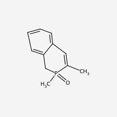 CC1=Cc2ccccc2CP1(C)=O